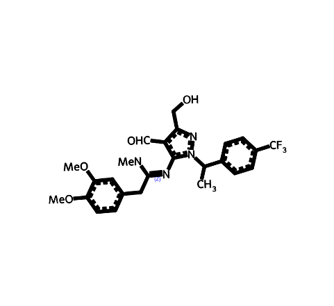 CN/C(Cc1ccc(OC)c(OC)c1)=N\c1c(C=O)c(CO)nn1C(C)c1ccc(C(F)(F)F)cc1